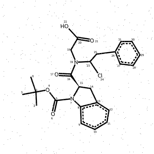 CC(C)(C)OC(=O)N1c2ccccc2C[C@@H]1C(=O)N(CC(=O)O)C(Cl)Cc1ccccc1